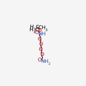 CC(C)(C)OC(=O)NCCOCCOCCOCCOCCC(N)=O